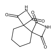 O=C1NC(=O)C12CCCCC21C(=O)NC1=O